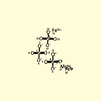 O=S(=O)([O-])[O-].O=S(=O)([O-])[O-].O=S(=O)([O-])[O-].[Fe+3].[Fe+3].[MgH2]